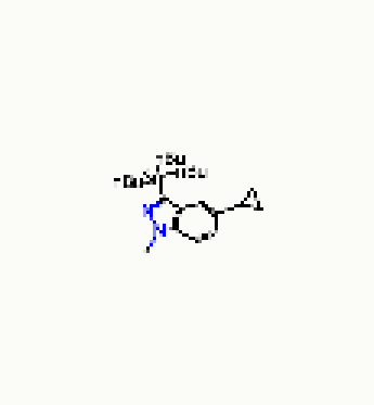 CCC[CH2][Sn]([CH2]CCC)([CH2]CCC)[c]1nn(C)c2ccc(C3CC3)cc12